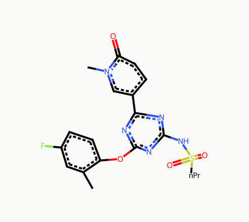 CCCS(=O)(=O)Nc1nc(Oc2ccc(F)cc2C)nc(-c2ccc(=O)n(C)c2)n1